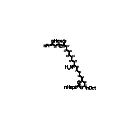 CCCCCCCCC(CCCCCCCC(N)CCCCCCCC(=O)OCCC(CCC)CCCCCC)OC(=O)CCCCCCC